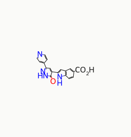 O=C(O)c1ccc2[nH]c(-c3cc(-c4ccncc4)n[nH]c3=O)cc2c1